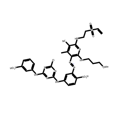 C=CS(=O)(=O)CCNc1nc(NCCCOC)c(/N=N/c2cc(Nc3nc(Cl)nc(Nc4cccc(S(=O)(=O)O)c4)n3)ccc2S(=O)(=O)O)c(C)c1C#N